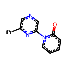 CC(C)c1cncc(-n2ccccc2=O)n1